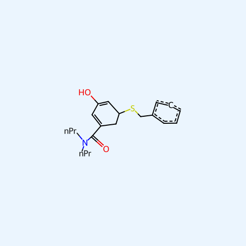 CCCN(CCC)C(=O)C1=CC(O)=CC(SCc2ccccc2)C1